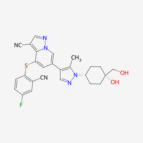 Cc1c(-c2cc(Sc3ccc(F)cc3C#N)c3c(C#N)cnn3c2)cnn1[C@H]1CC[C@](O)(CO)CC1